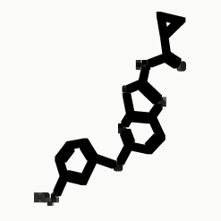 O=C(O)c1cccc(Oc2ccc3nc(NC(=O)C4CC4)sc3n2)c1